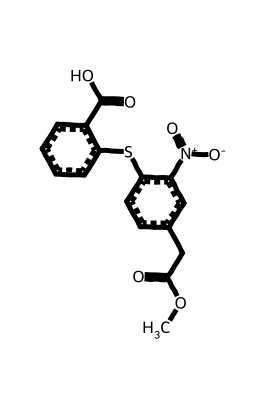 COC(=O)Cc1ccc(Sc2ccccc2C(=O)O)c([N+](=O)[O-])c1